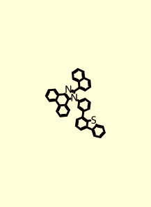 c1cc(-c2cccc3c2sc2ccccc23)cc(-n2c(-c3cccc4ccccc34)nc3c4ccccc4c4ccccc4c32)c1